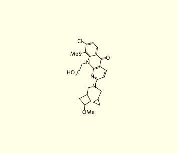 COC1CC(CN(CC2CC2)c2ccc3c(=O)c4ccc(Cl)c(SC)c4n(CC(=O)O)c3n2)C1